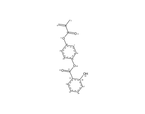 C=C(C)C(=O)Oc1ccc(OC(=O)c2ccccc2O)cc1